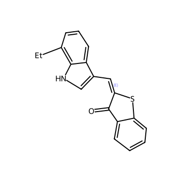 CCc1cccc2c(/C=C3/Sc4ccccc4C3=O)c[nH]c12